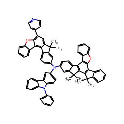 CC1(C)c2cc(N(c3ccc4c(c3)C(C)(C)c3c5c(c6oc7ccccc7c6c3-4)-c3ccccc3C5(C)C)c3ccc4c(c3)c3ccccc3n4-c3ccccc3)ccc2-c2c1cc(-c1ccncc1)c1oc3ccccc3c21